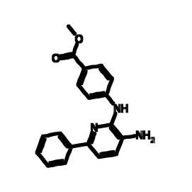 COC(=O)c1ccc(Nc2nc(-c3ccccc3)ccc2N)cc1